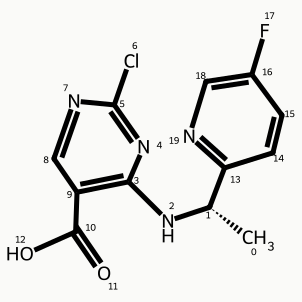 C[C@H](Nc1nc(Cl)ncc1C(=O)O)c1ccc(F)cn1